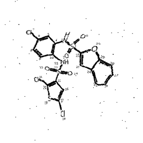 O=S(=O)(Nc1cc(Cl)ccc1NS(=O)(=O)c1cc(Cl)sc1Cl)c1cc2ccccc2o1